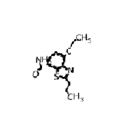 CCCc1nc2c(CCC)cccc2s1.NC=O